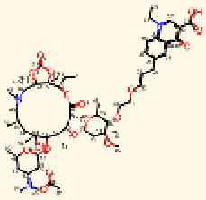 CC[C@H]1OC(=O)[C@H](C)[C@@H](O[C@H]2C[C@@](C)(OC)[C@@H](OCCOC=CCc3ccc4c(c3)c(=O)c(C(=O)O)cn4CC)[C@H](C)O2)[C@H](C)[C@@H](O[C@@H]2O[C@H](C)C[C@H](N(C)C)[C@H]2OC(C)=O)[C@](C)(O)C[C@@H](C)CN(C)[C@H](C)[C@H]2OC(=O)O[C@@]21C